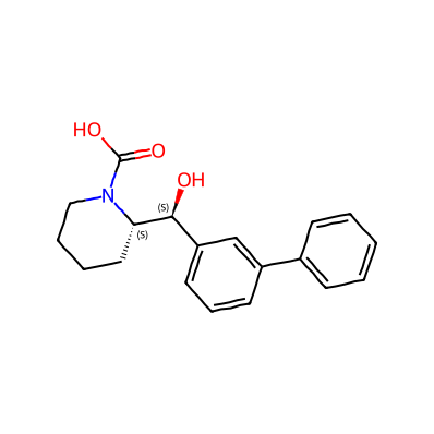 O=C(O)N1CCCC[C@H]1[C@@H](O)c1cccc(-c2ccccc2)c1